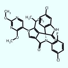 COc1ncc(-n2cc3c(c2C(C)C)[C@@]2(C(=O)Nc4cc(Cl)ccc42)N(c2cc(Cl)ccc2F)C3=O)c(OC)n1